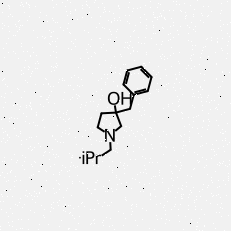 C[C](C)CN1CCC(O)(Cc2ccccc2)C1